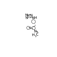 C/C=C\N=C1\C=C(N2CCCCC2)C=C(C[C@@H]2CCC[C@H](Nc3cc4ncnn4cn3)CC2)C1